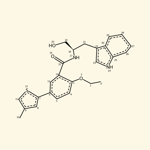 CCOc1ccc(-c2cc(C)cs2)cc1C(=O)N[C@@H](CO)Cc1c[nH]c2ccccc12